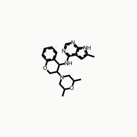 Cc1cc2c(NC3c4ccccc4OCC3N3CC(C)OC(C)C3)ncnc2[nH]1